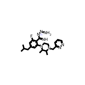 CC(C)Cc1cc(F)c(C(=N)/N=N\N)c(N2CCN(Cc3cccnn3)C(C)C2C)c1